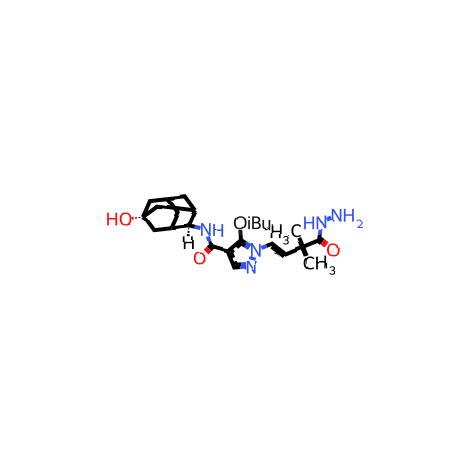 CC(C)COc1c(C(=O)N[C@H]2C3CC4CC2C[C@](O)(C4)C3)cnn1/C=C/C(C)(C)C(=O)NN